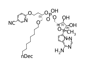 CCCCCCCCCCCCCCCCCCOC[C@H](CCOc1ccc(C#N)cn1)OP(=O)(O)OC[C@H]1O[C@@](C)(c2ccc3c(N)ncnn23)[C@H](O)[C@@H]1O